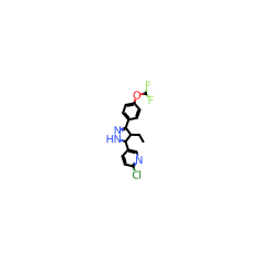 CCC1C(c2ccc(OC(F)F)cc2)=NNC1c1ccc(Cl)nc1